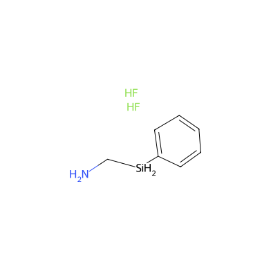 F.F.NC[SiH2]c1ccccc1